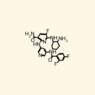 NC(=O)c1cc(F)c(NC2CCCCC2N)nc1Nc1cncc(NC(=O)c2ccc(F)cc2F)c1